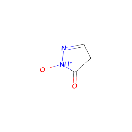 O=C1CC=N[NH+]1[O-]